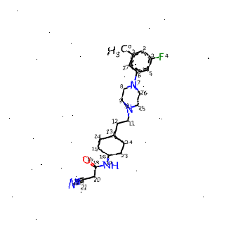 Cc1cc(F)cc(N2CCN(CCC3CCC(NC(=O)CC#N)CC3)CC2)c1